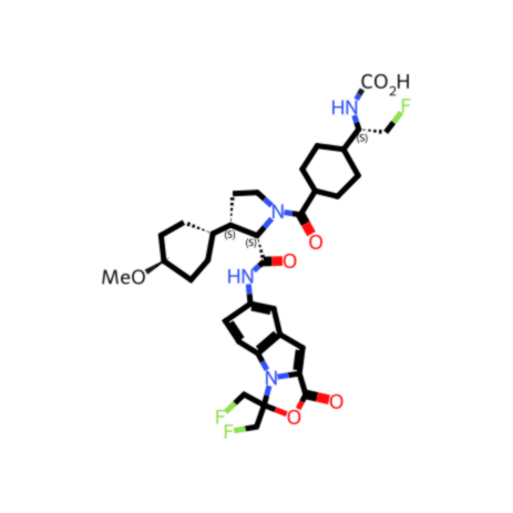 CO[C@H]1CC[C@H]([C@@H]2CCN(C(=O)C3CCC([C@@H](CF)NC(=O)O)CC3)[C@@H]2C(=O)Nc2ccc3c(c2)cc2n3C(CF)(CF)OC2=O)CC1